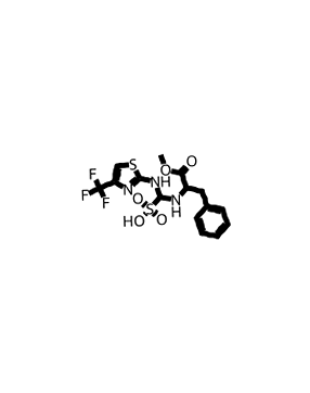 COC(=O)C(Cc1ccccc1)NC(Nc1nc(C(F)(F)F)cs1)S(=O)(=O)O